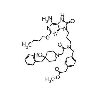 CCCCOc1nc(N)c2[nH]c(=O)n(CCCN(Cc3ccc(CC(=O)OC)cc3)C(=O)CN3CCC(O)(Cc4ccccc4)CC3)c2n1